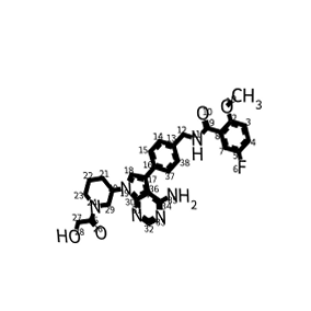 COc1ccc(F)cc1C(=O)NCc1ccc(-c2cn(C3CCCN(C(=O)CO)C3)c3ncnc(N)c23)cc1